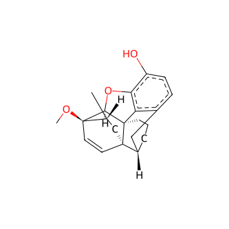 CO[C@]12C=C[C@]3(C[C@H]1C)[C@H]1CCC[C@]34c3c(ccc(O)c3O[C@H]24)C1